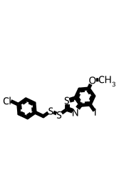 COc1cc(I)c2nc(SSCc3ccc(Cl)cc3)sc2c1